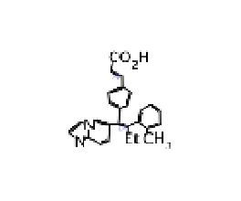 CC/C(=C(/c1ccc(/C=C/C(=O)O)cc1)c1ccc2nccn2c1)c1ccccc1C